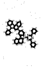 c1ccc(-c2nc(-c3ccccc3)nc(-n3c4ccc(-c5cc6c(c7ccccc57)-c5ccccc5C6c5ccccc5)cc4c4c5ccccc5ccc43)n2)cc1